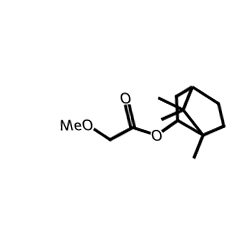 [C]OCC(=O)OC1CC2CCC1(C)C2(C)C